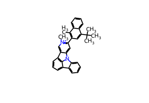 Cc1c(-c2cc3c(c[n+]2C)c2cccc4c5ccccc5n3c42)cc(C(C)(C)C)c2ccccc12